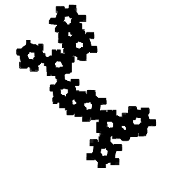 c1ccc(-c2nc(-c3ccc4sc5cc(-c6nc(-c7ccccc7)c7oc8ccccc8c7n6)ccc5c4c3)nc(-c3cccc4c3sc3ccccc34)n2)cc1